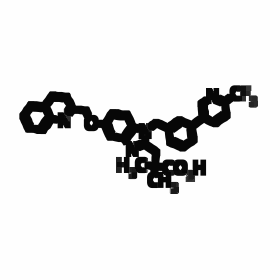 CC(C)(Cc1nc2cc(OCc3ccc4ccccc4n3)ccc2n1Cc1cccc(-c2ccc(C(F)(F)F)nc2)c1)C(=O)O